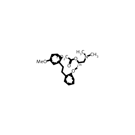 COc1cccc(CCc2ccccc2OC[C@@H](CN(C)C)OC(=O)C(=O)O)c1